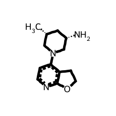 C[C@@H]1C[C@H](N)CN(c2ccnc3c2CCO3)C1